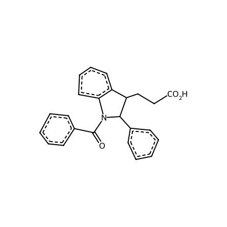 O=C(O)CCC1c2ccccc2N(C(=O)c2ccccc2)C1c1ccccc1